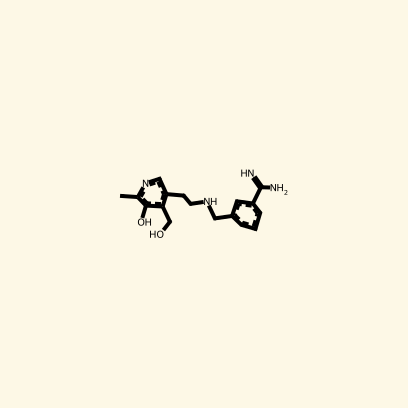 Cc1ncc(CCNCc2cccc(C(=N)N)c2)c(CO)c1O